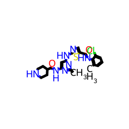 Cc1nc(NC(=O)C2CCNCC2)cc(Nc2ncc(C(=O)Nc3c(C)cccc3Cl)s2)n1